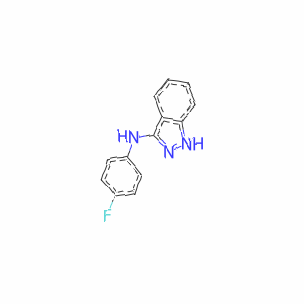 Fc1ccc(Nc2n[nH]c3ccccc23)cc1